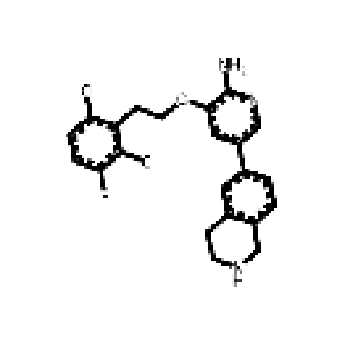 Nc1ncc(-c2ccc3c(c2)CCNC3)cc1OCCc1c(Cl)ccc(F)c1Cl